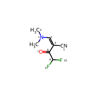 CN(C)C=C(C#N)C(=O)C(F)F